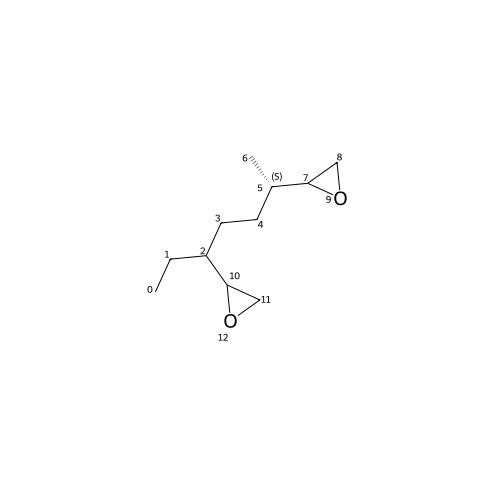 CCC(CC[C@H](C)C1CO1)C1CO1